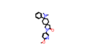 COc1ccc(N2CC3(CCC(c4ccccc4)(N(C)C)CC3)CC2=O)cn1